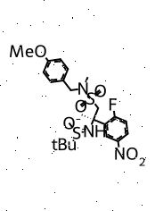 COc1ccc(CN(C)S(=O)(=O)C[C@](C)(N[S@@+]([O-])C(C)(C)C)c2cc([N+](=O)[O-])ccc2F)cc1